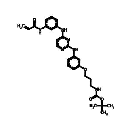 C=CC(=O)Nc1cccc(Nc2ccnc(Nc3cccc(OCCCNC(=O)OC(C)(C)C)c3)n2)c1